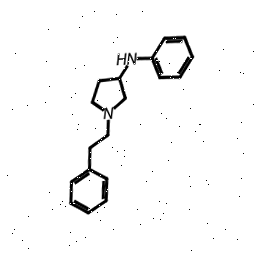 c1ccc(CCN2CCC(Nc3ccccc3)C2)cc1